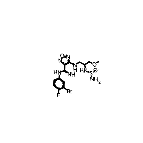 COCC(CNc1nonc1C(=N)Nc1ccc(F)c(Br)c1)N[S@+](N)[O-]